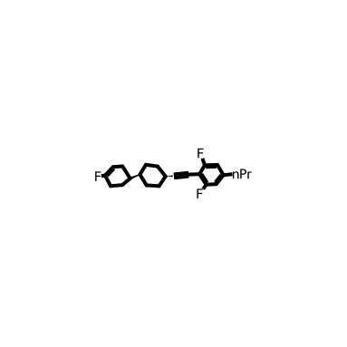 CCCc1cc(F)c(C#C[C@H]2CC[C@H](C3CC=C(F)CC3)CC2)c(F)c1